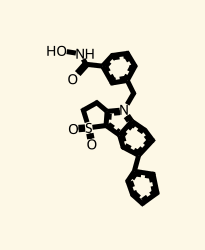 O=C(NO)c1cccc(Cn2c3c(c4cc(-c5ccccc5)ccc42)S(=O)(=O)CC3)c1